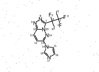 FC(F)(I)C(F)(I)c1nnc2ccc(-n3ccnc3)nn12